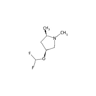 C[C@@H]1C[C@H](OC(F)F)CN1C